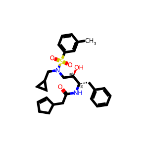 Cc1cccc(S(=O)(=O)N(CC2CC2)C[C@@H](O)[C@H](Cc2ccccc2)NC(=O)CC2C=CCC2)c1